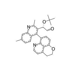 Cc1ccc2c(-c3ccc4c5c(ccnc35)CCO4)c([C@@H](C=O)OC(C)(C)C)c(C)nc2c1